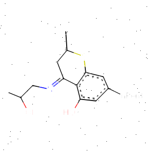 CCCCCc1cc(O)c2c(c1)SC(C)CC2=NCC(C)O